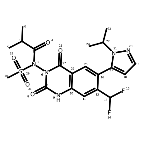 CC(C)C(=O)N(n1c(=O)[nH]c2cc(C(F)F)c(-c3ccnn3C(C)C)cc2c1=O)S(C)(=O)=O